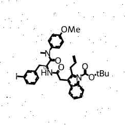 C=CCc1c(CC(=O)N[C@@H](Cc2cccc(I)c2)C(=O)N(C)c2ccc(OC)cc2)c2ccccc2n1C(=O)OC(C)(C)C